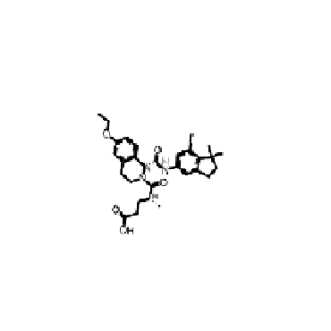 CCOc1ccc2c(c1)CCN(C(=O)[C@H](C)CCC(=O)O)[C@H]2C(=O)Nc1cc(F)c2c(c1)CCC2(C)C